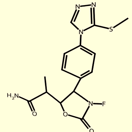 CSc1nncn1-c1ccc(C2C(C(C)C(N)=O)OC(=O)N2F)cc1